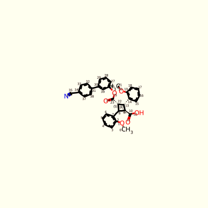 COc1ccccc1C1[C@H](C(=O)O)[C@@H](c2ccccc2OC)[C@H]1C(=O)Oc1cccc(-c2ccc(C#N)cc2)c1